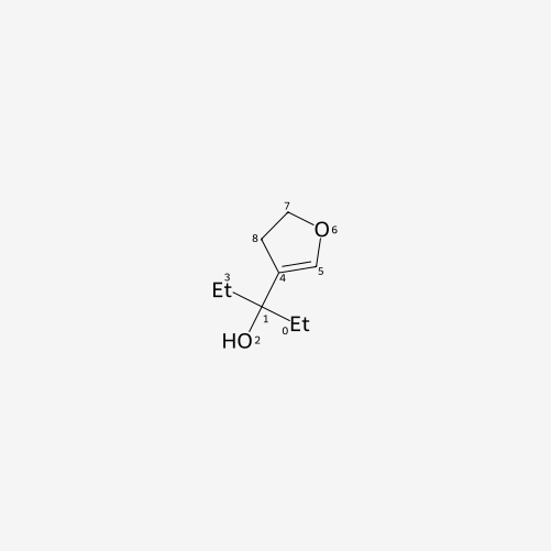 CCC(O)(CC)C1=COCC1